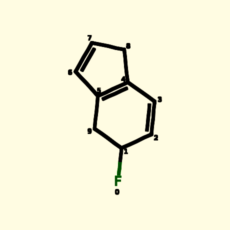 FC1C=CC2=C(C=CC2)C1